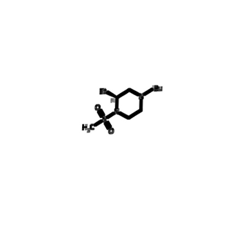 CCC(C)N1CCN(S(C)(=O)=O)[C@@H](CC)C1